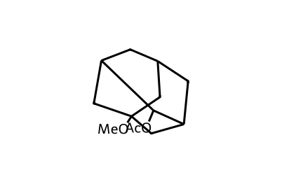 COC12CC3CC(C1)C(OC(C)=O)C(C3)C2